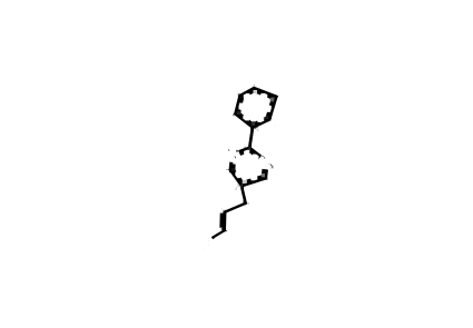 O/C=C/Cc1cnc(-c2ccccc2)nc1